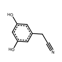 N#CCc1cc(O)cc(O)c1